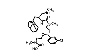 CNC[C@H](CC1C2CC3CC(C2)CC1C3)NC(=O)N(C)CC[C@@H](OCCN(C)C(=O)O)c1cccc(Cl)c1